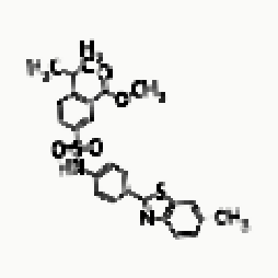 COC(=O)c1cc(S(=O)(=O)Nc2ccc(-c3nc4ccc(C)cc4s3)cc2)ccc1C(C)C